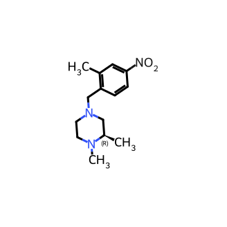 Cc1cc([N+](=O)[O-])ccc1CN1CCN(C)[C@H](C)C1